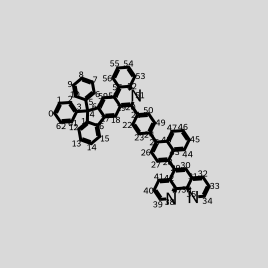 c1ccc(C2(c3ccccc3)c3ccccc3-c3cc4c(-c5ccc(-c6ccc(-c7cc8cccnc8c8ncccc78)c7ccccc67)cc5)nc5ccccc5c4cc32)cc1